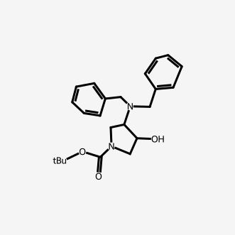 CC(C)(C)OC(=O)N1CC(O)C(N(Cc2ccccc2)Cc2ccccc2)C1